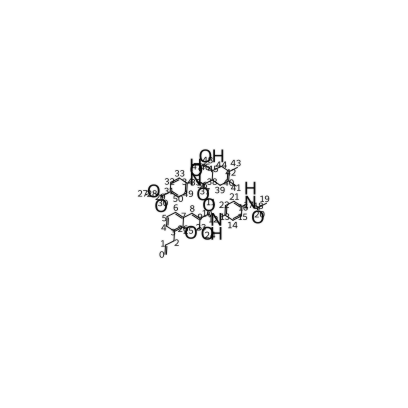 C=CCc1cccc2cc(C(=O)Nc3ccc(NC(C)=O)cc3)c(=O)oc12.COC(=O)c1ccc(NC(=O)C2CC(C)=C(C)CC2C(=O)O)cc1